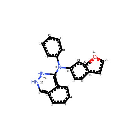 C1=c2ccccc2=C(N(c2ccccc2)c2ccc3ccoc3c2)NN1